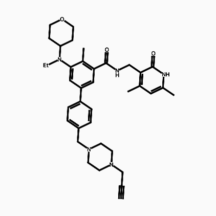 C#CCN1CCN(Cc2ccc(-c3cc(C(=O)NCc4c(C)cc(C)[nH]c4=O)c(C)c(N(CC)C4CCOCC4)c3)cc2)CC1